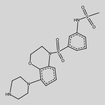 CS(=O)(=O)Nc1cccc(S(=O)(=O)N2CCOc3c(N4CCNCC4)cccc32)c1